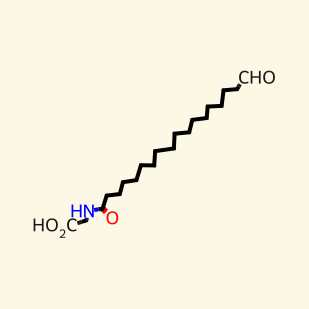 O=CCCCCCCCCCCCCCCCCC(=O)NCC(=O)O